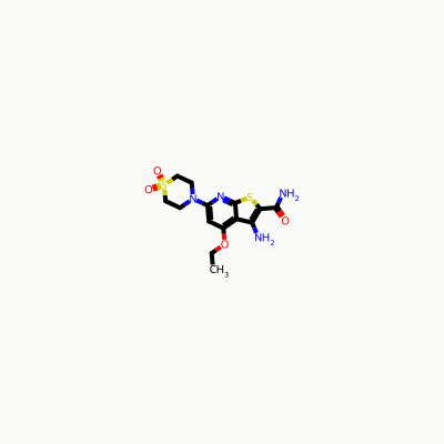 CCOc1cc(N2CCS(=O)(=O)CC2)nc2sc(C(N)=O)c(N)c12